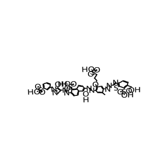 Cc1cc(N=Nc2ccc3c(S(=O)(=O)O)c(N=Nc4cnn(-c5cccc(S(=O)(=O)O)c5)c4O)ccc3c2O)c(OCCCS(=O)(=O)O)cc1N=Nc1nc2ccc(CO)c(S(=O)(=O)O)c2s1